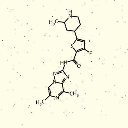 Cc1cn2nc(NC(=O)c3sc(C4CCNC(C)C4)cc3F)nc2c(C)n1